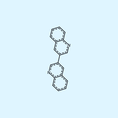 c1ccc2ncc(-c3cnc4ccccc4c3)cc2c1